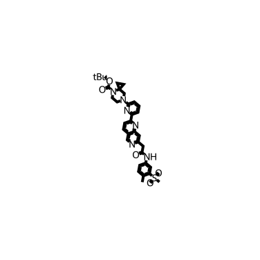 Cc1ccc(NC(=O)Cc2cc3nc(-c4cccc(N5CCN(C(=O)OC(C)(C)C)C6(CC6)C5)n4)ccc3cn2)cc1S(C)(=O)=O